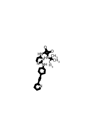 CC(C)(C)Nc1c(Nc2ccnc(Nc3ccc(C#Cc4ccccn4)cc3)n2)c(=O)c1=O